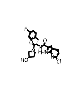 O=C(N[C@@H](Cc1ccc(F)cc1)C(=O)N1CC[C@@H](O)C1)c1cc2ccc(Cl)nc2[nH]1